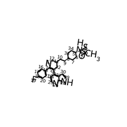 CS(=O)(=S)N[C@H]1CC[C@@H](CCC2C=NC(c3ccc(F)cc3)=C(c3ccnc4[nH]ccc34)C2)CC1